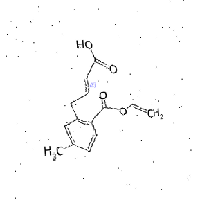 C=COC(=O)c1ccc(C)cc1C/C=C/C(=O)O